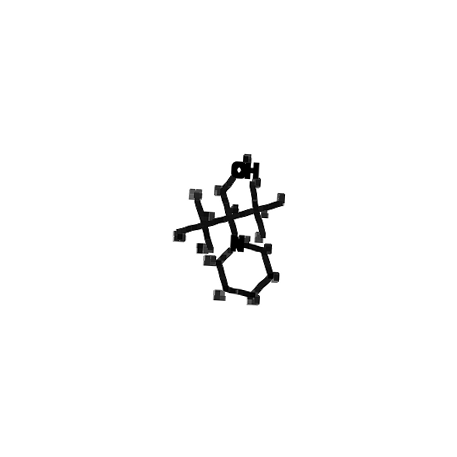 CC(C)(C)C(CO)(N1CCCCC1)C(C)(C)C